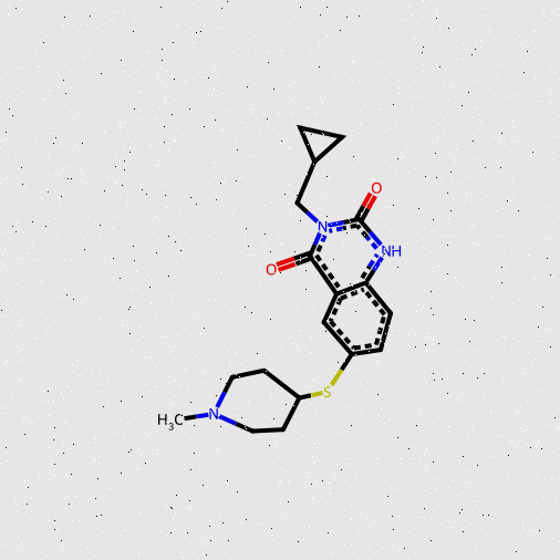 CN1CCC(Sc2ccc3[nH]c(=O)n(CC4CC4)c(=O)c3c2)CC1